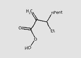 C=C(C(=O)OO)C(CC)CCCCC